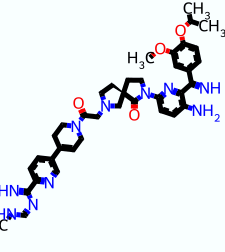 CN/C=N\C(=N)c1ccc(C2=CCN(C(=O)CN3CC[C@]4(CCN(c5ccc(N)c(C(=N)c6ccc(OC(C)C)c(OC)c6)n5)C4=O)C3)CC2)cn1